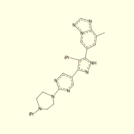 Cc1cc(-c2[nH]nc(-c3cnc(N4CCN(C(C)C)CC4)nc3)c2C(C)C)cn2ncnc12